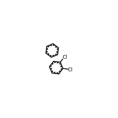 Clc1[c]cccc1Cl.c1ccccc1